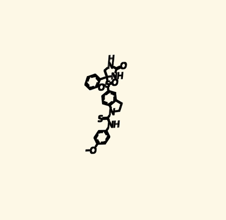 COc1ccc(NC(=S)N2CCc3cc(S(=O)(=O)C4(c5ccccc5)CNC(=O)N4)ccc32)cc1